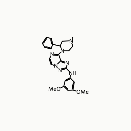 COc1cc(Nc2nc3c(N4CCN(C)CC4c4ccccc4)nccn3n2)cc(OC)c1